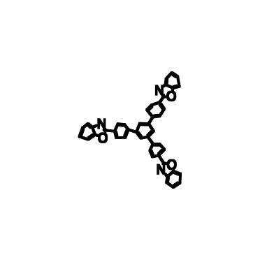 c1ccc2oc(-c3ccc(-c4cc(-c5ccc(-c6nc7ccccc7o6)cc5)cc(-c5ccc(-c6nc7ccccc7o6)cc5)c4)cc3)nc2c1